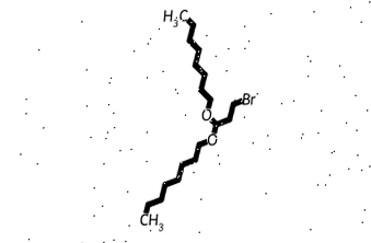 CCCCCCCCOC(CCBr)OCCCCCCCC